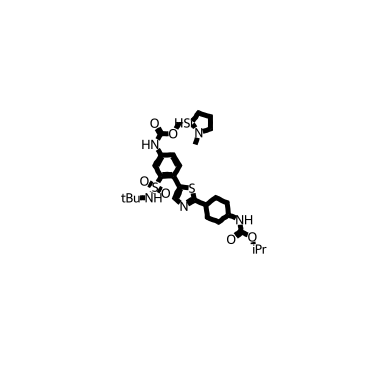 CC(C)OC(=O)NC1CCC(c2ncc(-c3ccc(NC(=O)OC[Si@@H]4CCCN4C)cc3S(=O)(=O)NC(C)(C)C)s2)CC1